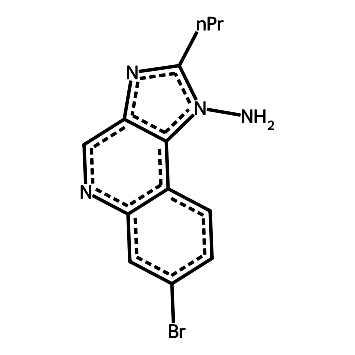 CCCc1nc2cnc3cc(Br)ccc3c2n1N